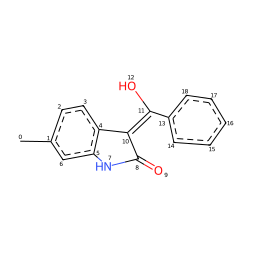 Cc1ccc2c(c1)NC(=O)/C2=C(/O)c1ccccc1